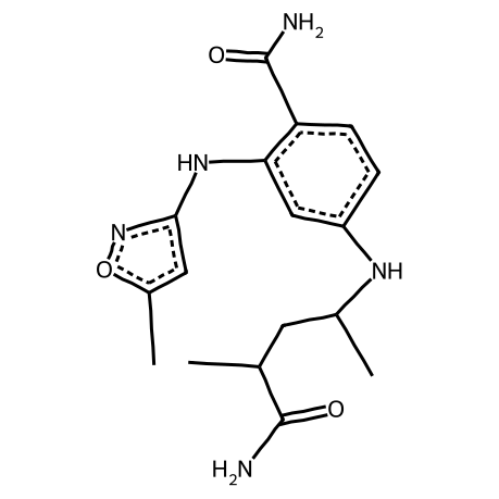 Cc1cc(Nc2cc(NC(C)CC(C)C(N)=O)ccc2C(N)=O)no1